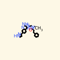 CCN(Cc1nc2c(N)nc3cc(-c4cc[nH]n4)ccc3c2[nH]1)C(=O)CCc1ccccc1